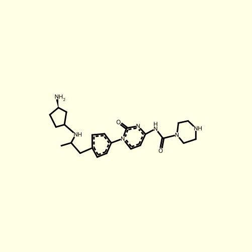 CC(Cc1ccc(-n2ccc(NC(=O)N3CCNCC3)nc2=O)cc1)NC1CC[C@@H](N)C1